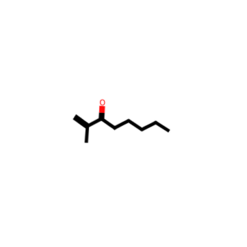 C=C(C)C(=O)[CH]CCCC